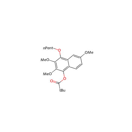 CCCCCOc1c(OC)c(OC)c(OC(=O)C(C)(C)C)c2ccc(OC)cc12